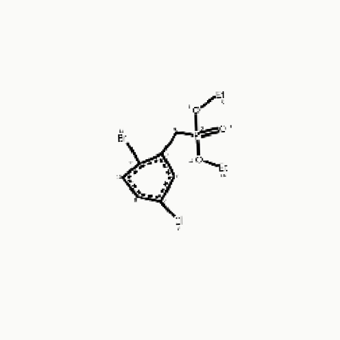 CCOP(=O)(Cc1cc(Cl)ccc1Br)OCC